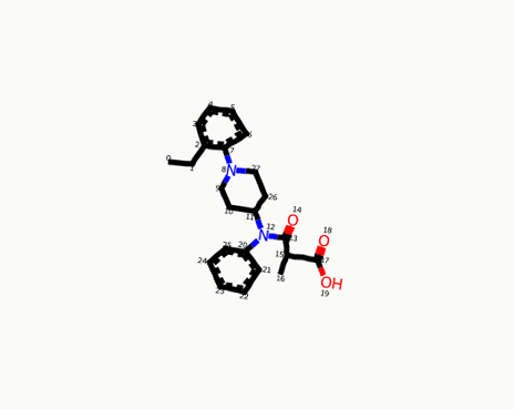 CCc1ccccc1N1CCC(N(C(=O)C(C)C(=O)O)c2ccccc2)CC1